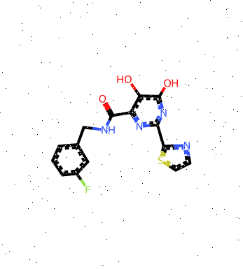 O=C(NCc1cccc(F)c1)c1nc(-c2nccs2)nc(O)c1O